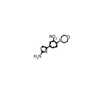 Nc1nc(-c2ccc(N3CCOCC3)c([N+](=O)[O-])c2)cs1